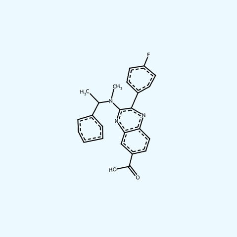 CC(c1ccccc1)N(C)c1nc2cc(C(=O)O)ccc2nc1-c1ccc(F)cc1